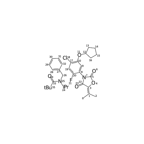 CC(C)=C1OC(=O)N(c2cc(OC3CCCC3)c(Cl)cc2F)C1=O.CC(C)N(Cc1ccccc1)C(=O)C(C)(C)C